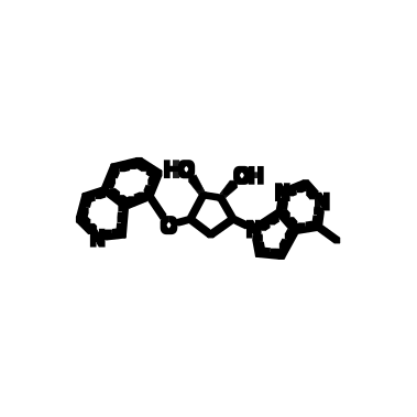 Cc1ncnc2c1ccn2C1CC(Oc2cccc3ccncc23)[C@@H](O)[C@H]1O